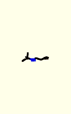 CCCCC[NH][Ti]([CH3])[CH3]